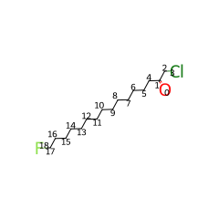 O=C(CCl)CCCCCCCCCCCCCCF